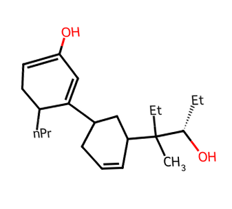 CCCC1CC=C(O)C=C1C1CC=CC(C(C)(CC)[C@@H](O)CC)C1